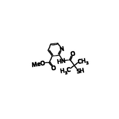 COC(=O)c1cccnc1NC(=O)C(C)(C)S